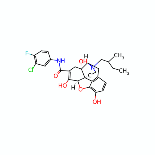 CCC(C)CN1CC[C@]23c4c5ccc(O)c4O[C@H]2C(O)=C(C(=O)Nc2ccc(F)c(Cl)c2)C[C@@]3(O)[C@H]1C5